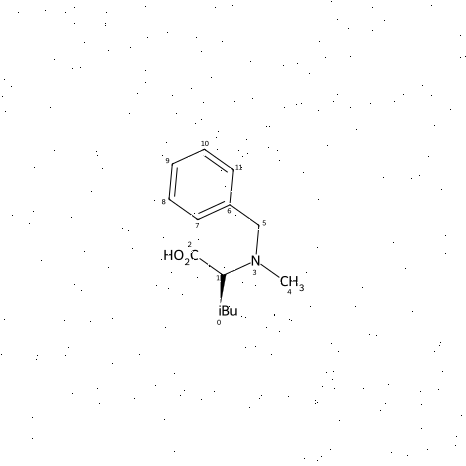 CC[C@H](C)C(C(=O)O)N(C)Cc1ccccc1